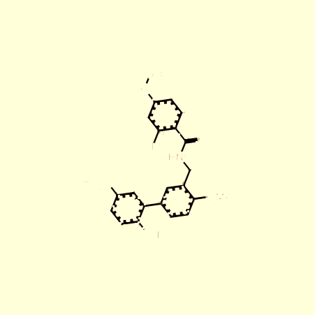 CCCOc1ccc(C(=O)NCc2cc(-c3cc(C(=O)O)ccc3C)ccc2OC)c(Cl)c1